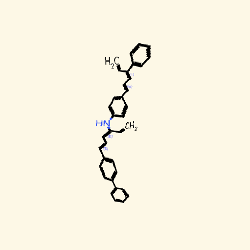 C=C/C(=C\C=C\c1ccc(-c2ccccc2)cc1)Nc1ccc(/C=C/C=C(\C=C)c2ccccc2)cc1